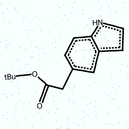 CC(C)(C)OC(=O)Cc1ccc2[nH]ccc2c1